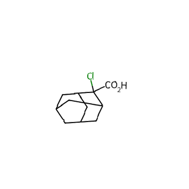 O=C(O)C1(Cl)C2CC3CC(C2)CC1C3